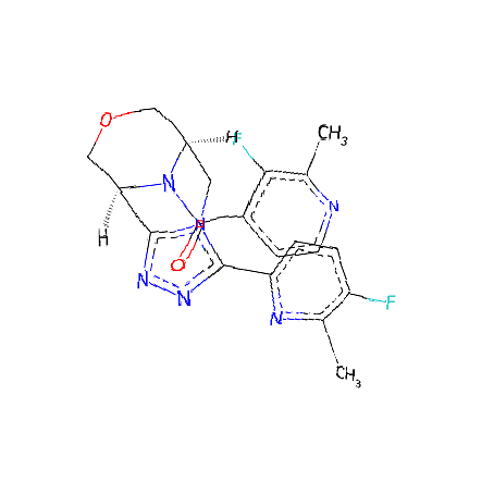 Cc1nc(-c2nnc3n2C[C@@H]2COC[C@H]3N2C(=O)c2ccnc(C)c2F)ccc1F